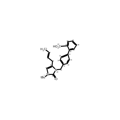 CC=CCc1cn(C(C)(C)C)c(=O)n1Cc1ccc(-c2ccccc2C(=O)O)cc1